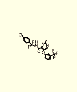 Cc1ncc(Oc2cccc(C(F)(F)F)c2)c(C(=O)NCC(F)(F)c2ccc(Cl)cc2)n1